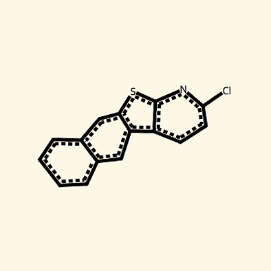 Clc1ccc2c(n1)sc1cc3ccccc3cc12